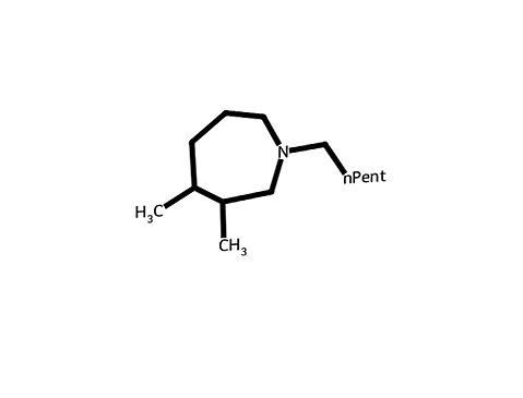 CCCCCCN1CCCC(C)C(C)C1